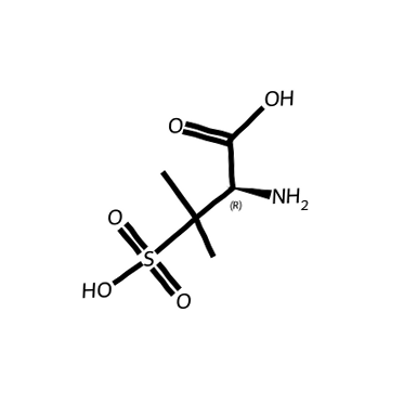 CC(C)([C@H](N)C(=O)O)S(=O)(=O)O